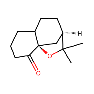 CC1(C)O[C@]23C[C@H]1CCC2CCCC3=O